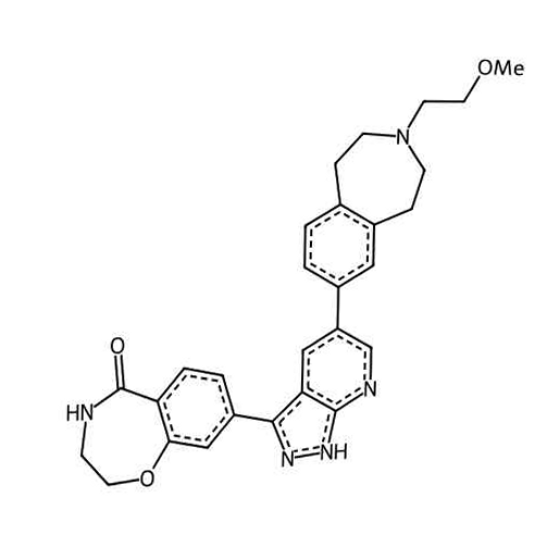 COCCN1CCc2ccc(-c3cnc4[nH]nc(-c5ccc6c(c5)OCCNC6=O)c4c3)cc2CC1